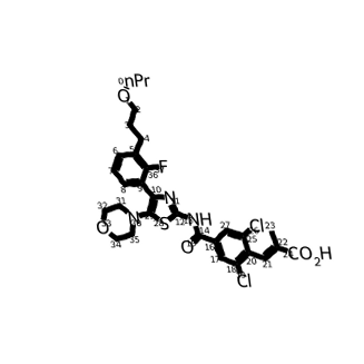 CCCOCCCc1cccc(-c2nc(NC(=O)c3cc(Cl)c(C=C(C)C(=O)O)c(Cl)c3)sc2N2CCOCC2)c1F